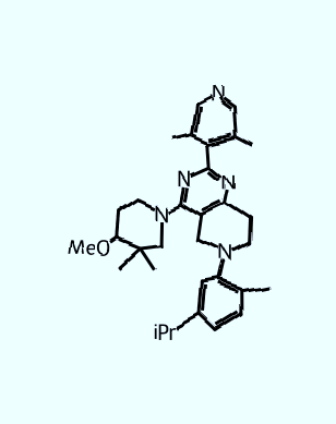 COC1CCN(c2nc(-c3c(C)cncc3C)nc3c2CN(c2cc(C(C)C)ccc2C)CC3)CC1(C)C